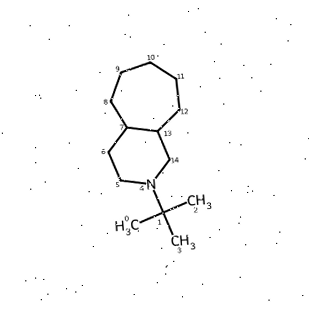 CC(C)(C)N1CCC2CCCCCC2C1